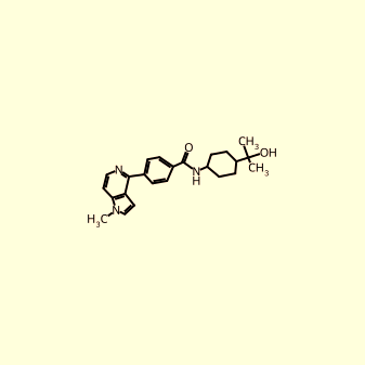 Cn1ccc2c(-c3ccc(C(=O)NC4CCC(C(C)(C)O)CC4)cc3)nccc21